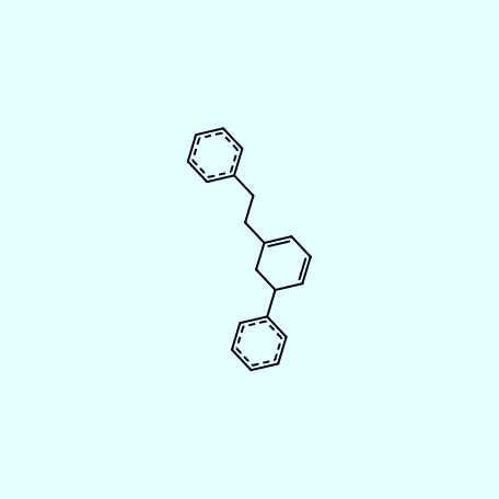 C1=CC(c2ccccc2)CC(CCc2ccccc2)=C1